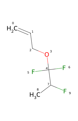 C=CCOC(F)(F)C(C)F